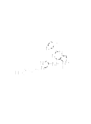 COCCCn1cc(Nc2nc(-c3ncco3)nc3cn[nH]c23)cn1